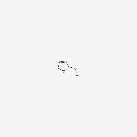 [O]CC1C=CCO1